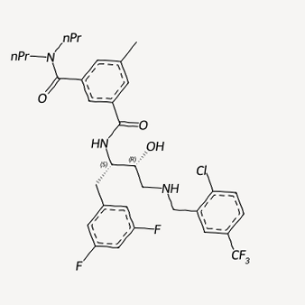 CCCN(CCC)C(=O)c1cc(C)cc(C(=O)N[C@@H](Cc2cc(F)cc(F)c2)[C@H](O)CNCc2cc(C(F)(F)F)ccc2Cl)c1